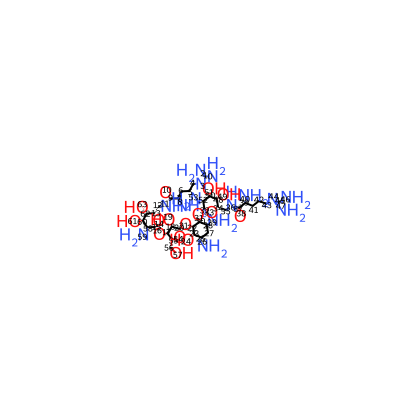 NC(N)=NCCC[C@H](N)C(=O)NC[C@@H]1OC(O[C@H]2[C@@H](O)[C@H](O[C@@H]3[C@@H](O)[C@H](N)C[C@H](N)[C@H]3O[C@H]3O[C@H](CNC(=O)[C@@H](N)CCCN=C(N)N)[C@@H](O)[C@H](O)[C@H]3N)O[C@@H]2CO)[C@H](N)[C@@H](O)[C@@H]1O